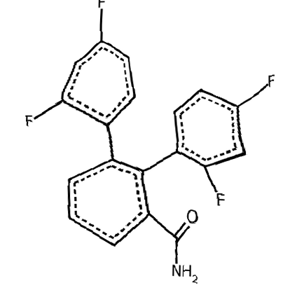 NC(=O)c1cccc(-c2ccc(F)cc2F)c1-c1ccc(F)cc1F